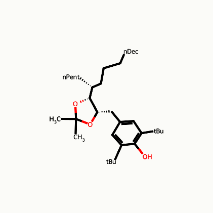 CCCCCCCCCCCCC[C@@H](CCCCC)[C@H]1OC(C)(C)O[C@H]1Cc1cc(C(C)(C)C)c(O)c(C(C)(C)C)c1